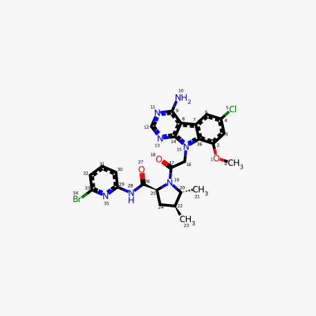 COc1cc(Cl)cc2c3c(N)ncnc3n(CC(=O)N3[C@H](C)[C@@H](C)C[C@H]3C(=O)Nc3cccc(Br)n3)c12